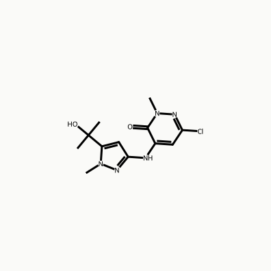 Cn1nc(Nc2cc(Cl)nn(C)c2=O)cc1C(C)(C)O